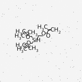 C=C(C)C(=O)OCCC[SiH](CO[Si](C)(C)C)CO[Si](C)(C)C